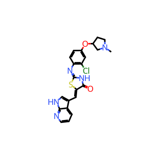 CN1CCC(Oc2ccc(N=C3NC(=O)C(=Cc4c[nH]c5ncccc45)S3)c(Cl)c2)C1